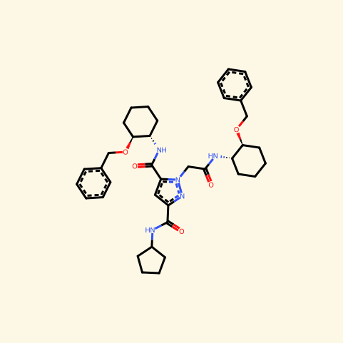 O=C(Cn1nc(C(=O)NC2CCCC2)cc1C(=O)N[C@H]1CCCC[C@@H]1OCc1ccccc1)N[C@H]1CCCC[C@@H]1OCc1ccccc1